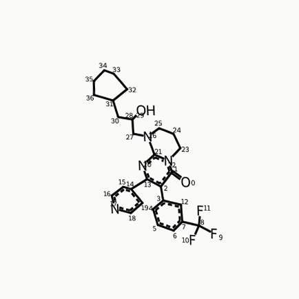 O=c1c(-c2cccc(C(F)(F)F)c2)c(-c2ccncc2)nc2n1CCCN2CC(O)CC1CCCCC1